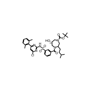 Cc1cccc(C)c1-c1cc(Cl)nc(NS(=O)(=O)c2cccc(C(=O)N3C[C@H](O)CN(C(=O)OC(C)(C)C)CC3CCC(C)C)c2)n1